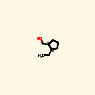 CC[C@@H]1CCC[C@@H]1CO